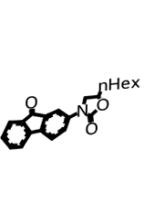 CCCCCCC1CN(c2ccc3c(c2)C(=O)c2ccccc2-3)C(=O)O1